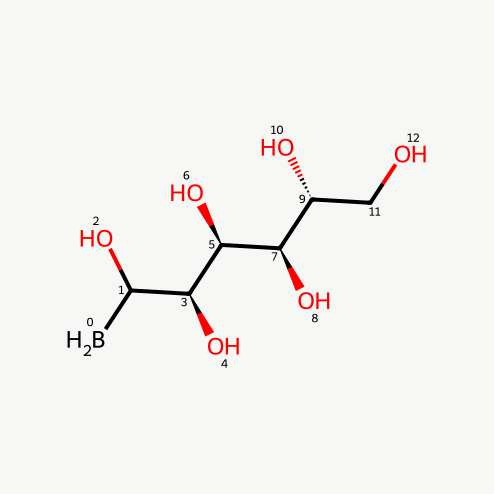 BC(O)[C@H](O)[C@@H](O)[C@H](O)[C@H](O)CO